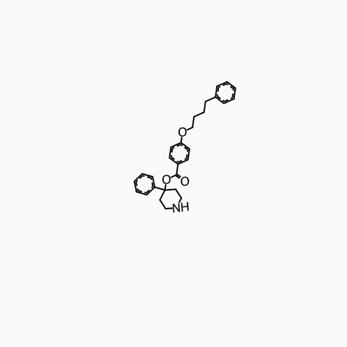 O=C(OC1(c2ccccc2)CCNCC1)c1ccc(OCCCCc2ccccc2)cc1